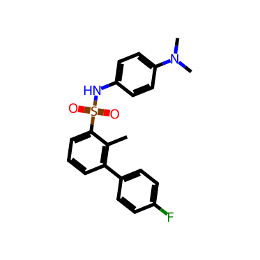 Cc1c(-c2ccc(F)cc2)cccc1S(=O)(=O)Nc1ccc(N(C)C)cc1